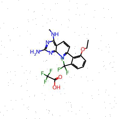 CCOc1cccc(C(F)(F)F)c1-c1ccc2c(NC)nc(N)nc2n1.O=C(O)C(F)(F)F